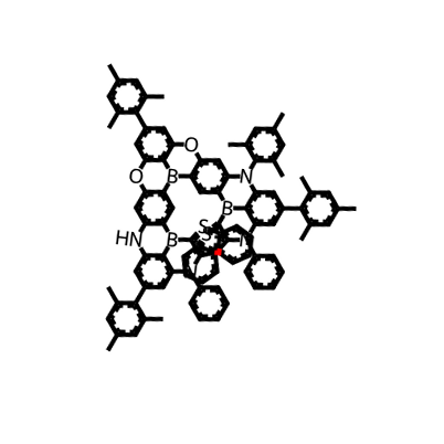 Cc1cc(C)c(-c2cc3c4c(c2)Oc2cc5c(cc2B4c2cc4c(cc2O3)Nc2cc(-c3c(C)cc(C)cc3C)cc3c2B4c2sc4ccccc4c2N3c2ccccc2)B2c3sc4ccccc4c3N(c3ccccc3)c3cc(-c4c(C)cc(C)cc4C)cc(c32)N5c2c(C)cc(C)cc2C)c(C)c1